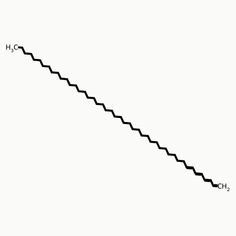 C=CC=CC=CC=CCCCCCCCCCCCCCCCCCCCCCCCCCCCCCCCCCCCCCC